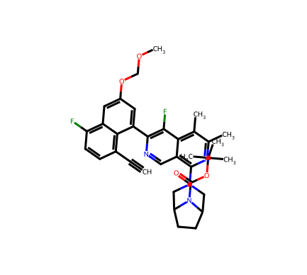 C#Cc1ccc(F)c2cc(OCOC)cc(-c3ncc4c(N5CC6CCC(C5)N6C(=O)OC(C)(C)C)nc(C)c(C)c4c3F)c12